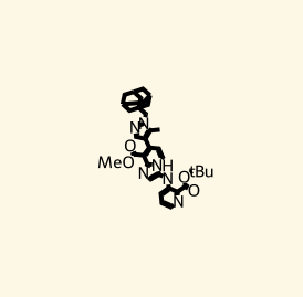 COC(=O)c1c(-c2cnn(CC34CC5CC(CC(C5)C3)C4)c2C)ccn2c(Nc3cccnc3C(=O)OC(C)(C)C)cnc12